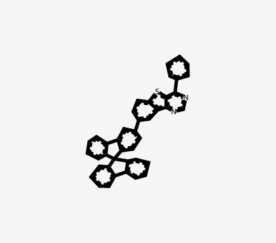 c1ccc(-c2ncnc3c2sc2ccc(-c4ccc5c(c4)-c4ccccc4C54c5ccccc5-c5ccccc54)cc23)cc1